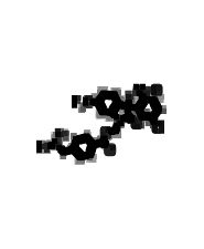 CCN(CC)Cc1ccc(C(=O)OCN2C(=O)C(F)(c3cc(Cl)ccc3OC)c3ccc(C(F)(F)F)cc32)cc1